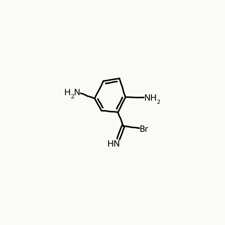 N=C(Br)c1cc(N)ccc1N